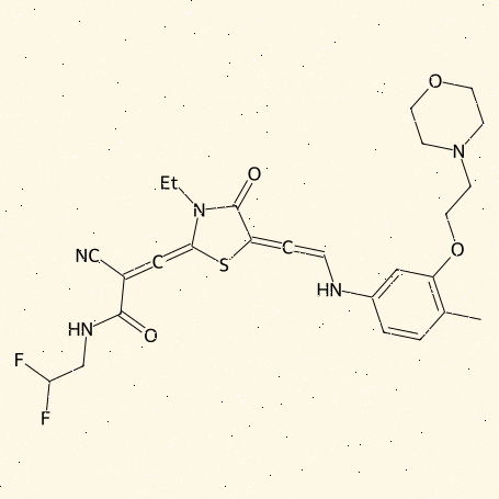 CCn1c(=C=C(C#N)C(=O)NCC(F)F)sc(=C=CNc2ccc(C)c(OCCN3CCOCC3)c2)c1=O